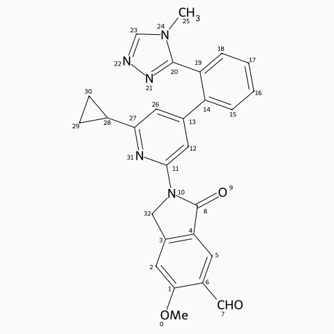 COc1cc2c(cc1C=O)C(=O)N(c1cc(-c3ccccc3-c3nncn3C)cc(C3CC3)n1)C2